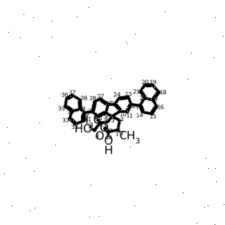 CC(CC1(CC(C)C(=O)O)c2cc(-c3cccc4ccccc34)ccc2-c2ccc(-c3cccc4ccccc34)cc21)C(=O)O